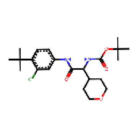 CC(C)(C)OC(=O)NC(C(=O)Nc1ccc(C(C)(C)C)c(Cl)c1)C1CCOCC1